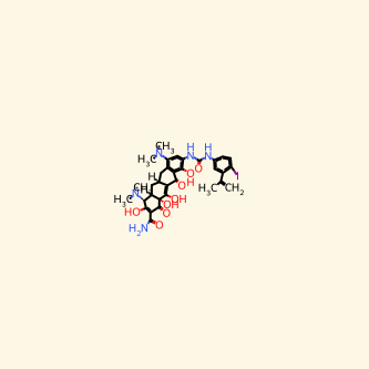 C=C(C)c1cc(NC(=O)Nc2cc(N(C)C)c3c(c2O)C(=O)C2=C(O)[C@]4(O)C(=O)C(C(N)=O)=C(O)[C@@H](N(C)C)[C@@H]4C[C@@H]2C3)ccc1I